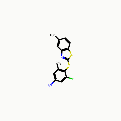 Cc1ccc2sc(Sc3c(C)cc(N)cc3Cl)nc2c1